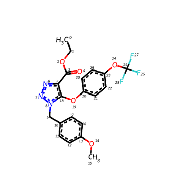 CCOC(=O)c1nnn(Cc2ccc(OC)cc2)c1Oc1ccc(OC(F)(F)F)cc1